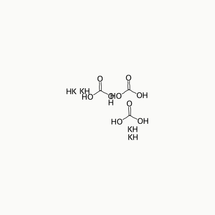 O=C(O)O.O=C(O)O.O=C(O)O.[KH].[KH].[KH].[KH]